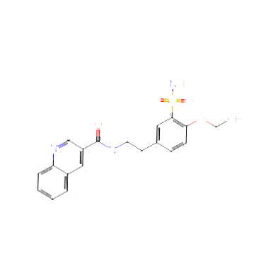 CCOc1ccc(CCNC(=O)c2cnc3ccccc3c2)cc1S(N)(=O)=O